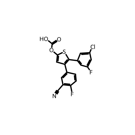 N#Cc1cc(-c2cc(OC(=O)O)sc2-c2cc(F)cc(Cl)c2)ccc1F